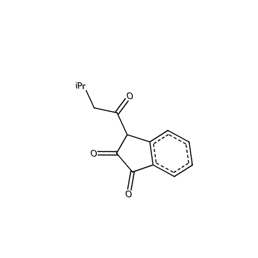 CC(C)CC(=O)C1C(=O)C(=O)c2ccccc21